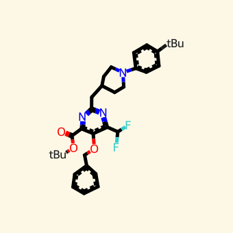 CC(C)(C)OC(=O)c1nc(CC2CCN(c3ccc(C(C)(C)C)cc3)CC2)nc(C(F)F)c1OCc1ccccc1